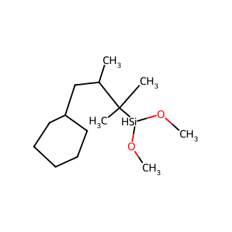 CO[SiH](OC)C(C)(C)C(C)CC1CCCCC1